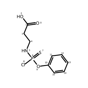 O=C(O)CCNP(=S)(Cl)Oc1ccccc1